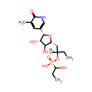 CCC(O)P(=O)(O)OC(C)(CC)C[C@H]1O[C@@H](c2c[nH]c(=O)c(C)c2)[C@@H](O)C1O